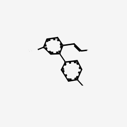 CSc1ccc(C=CC(=O)O)c(-c2ccc(F)cc2)c1